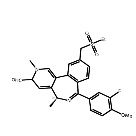 CCS(=O)(=O)Cc1ccc2c(c1)C1=CN(C)C(C=O)C=C1[C@H](C)N=C2c1ccc(OC)c(F)c1